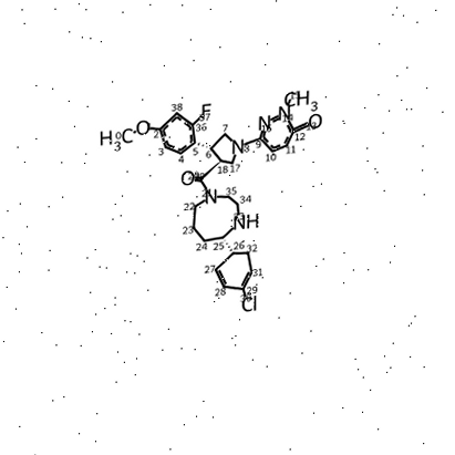 COc1ccc([C@@H]2CN(c3ccc(=O)n(C)n3)C[C@H]2C(=O)N2CCC[C@@H](C3C=CC(Cl)=CC3)NCC2)c(F)c1